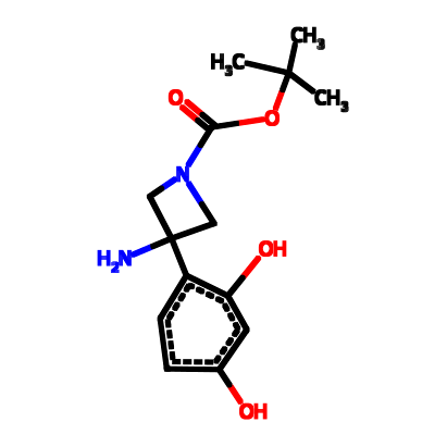 CC(C)(C)OC(=O)N1CC(N)(c2ccc(O)cc2O)C1